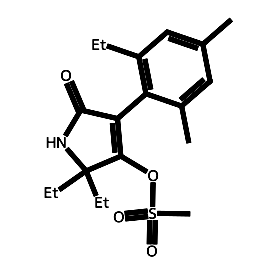 CCc1cc(C)cc(C)c1C1=C(OS(C)(=O)=O)C(CC)(CC)NC1=O